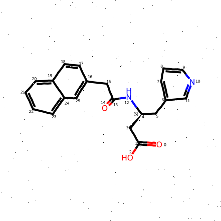 O=C(O)C[C@H](Cc1cccnc1)NC(=O)Cc1ccc2ccccc2c1